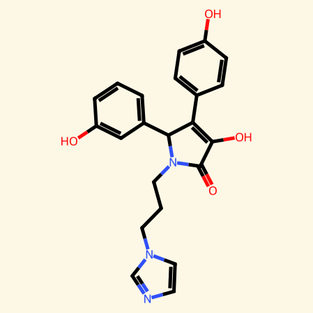 O=C1C(O)=C(c2ccc(O)cc2)C(c2cccc(O)c2)N1CCCn1ccnc1